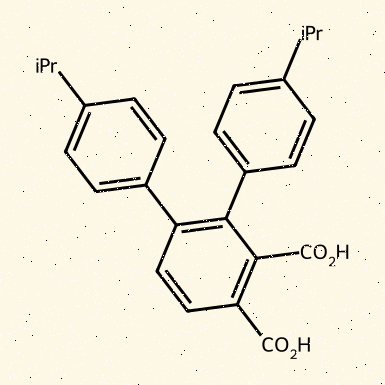 CC(C)c1ccc(-c2ccc(C(=O)O)c(C(=O)O)c2-c2ccc(C(C)C)cc2)cc1